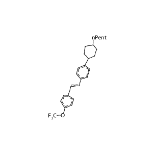 CCCCCC1CCC(c2ccc(C=Cc3ccc(OC(F)(F)F)cc3)cc2)CC1